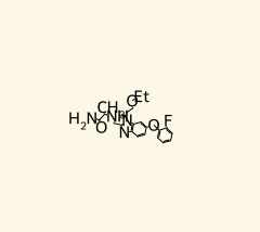 CCOCCn1c(CN[C@@H](C)C(N)=O)nc2ccc(Oc3ccccc3F)cc21